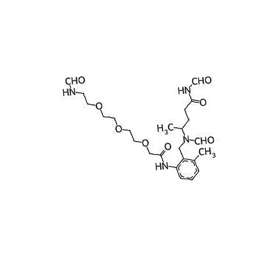 Cc1cccc(NC(=O)COCCOCCOCCNC=O)c1CN(C=O)C(C)CCC(=O)NC=O